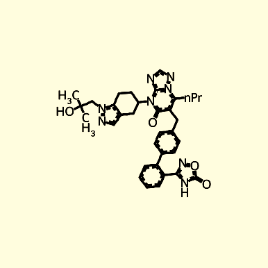 CCCc1c(Cc2ccc(-c3ccccc3-c3noc(=O)[nH]3)cc2)c(=O)n(C2CCc3c(cnn3CC(C)(C)O)C2)c2ncnn12